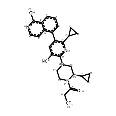 N#Cc1cc(-c2cccc3c(O)nccc23)c(C2CC2)nc1N1CCN(C(=O)CC(F)(F)F)[C@H](C2CC2)C1